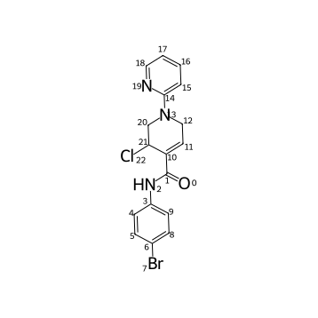 O=C(Nc1ccc(Br)cc1)C1=CCN(c2ccccn2)CC1Cl